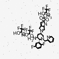 CS(=O)(=O)n1cc2c(n1)CN([C@@H]1C[C@H](N)[C@@H](c3cc(F)ccc3F)N(Cc3ccccn3)C1)C2.O=C(O)C(F)(F)F.O=C(O)C(F)(F)F.O=C(O)C(F)(F)F